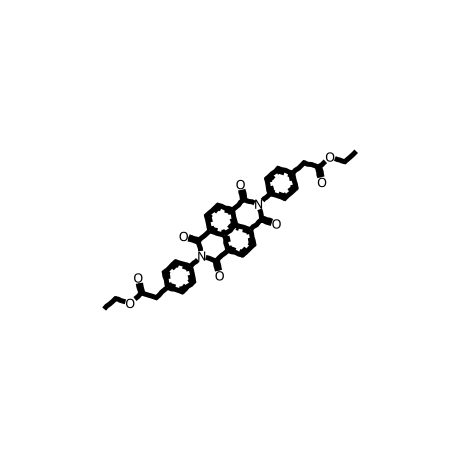 CCOC(=O)Cc1ccc(N2C(=O)c3ccc4c5c(ccc(c35)C2=O)C(=O)N(c2ccc(CC(=O)OCC)cc2)C4=O)cc1